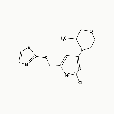 CC1COCCN1c1cc(CSc2nccs2)nc(Cl)n1